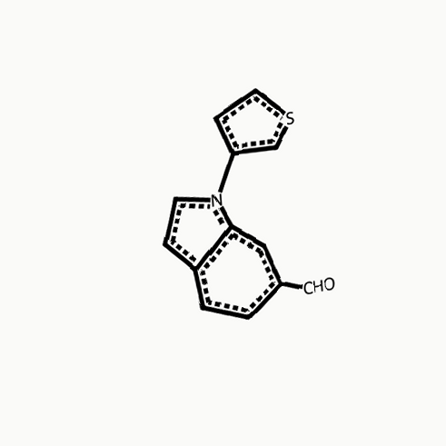 O=Cc1ccc2ccn(-c3ccsc3)c2c1